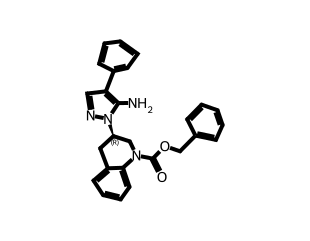 Nc1c(-c2ccccc2)cnn1[C@@H]1Cc2ccccc2N(C(=O)OCc2ccccc2)C1